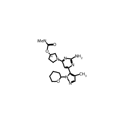 CNC(=O)O[C@@H]1CCN(c2cc(-c3c(C)cnn3C3CCCCO3)nc(N)n2)C1